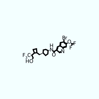 O=C(N[C@H]1CC[C@H](CC2CCC2[C@H](CO)C(F)(F)F)CC1)c1cnc2cc(OC(F)F)c(Br)cc2c1